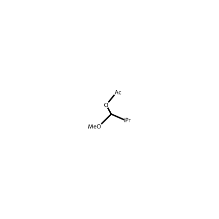 COC(OC(C)=O)C(C)C